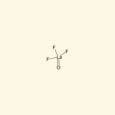 [O]=[La]([F])([F])[F]